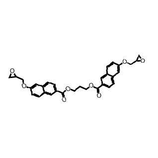 O=C(OCCCOC(=O)c1ccc2cc(OCC3CO3)ccc2c1)c1ccc2cc(OCC3CO3)ccc2c1